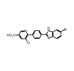 O=C(O)c1cnc(-c2ccc(-c3nc4ccc(Br)cc4[nH]3)cc2)c(Cl)c1